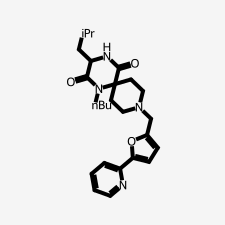 CCCCN1C(=O)C(CC(C)C)NC(=O)C12CCN(Cc1ccc(-c3ccccn3)o1)CC2